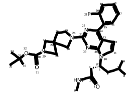 CNC(=O)C[C@@H](CC(C)C)n1ccc2c(-c3ccccc3F)nc(N3CCC4(CN(C(=O)OC(C)(C)C)C4)C3)nc21